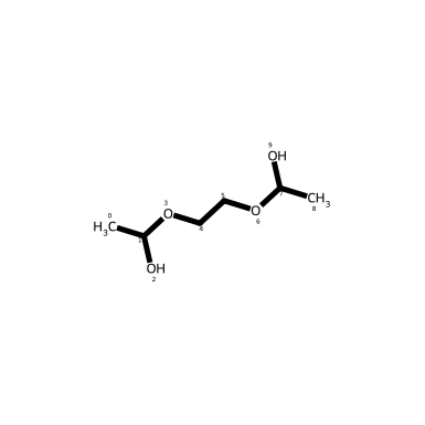 CC(O)OCCOC(C)O